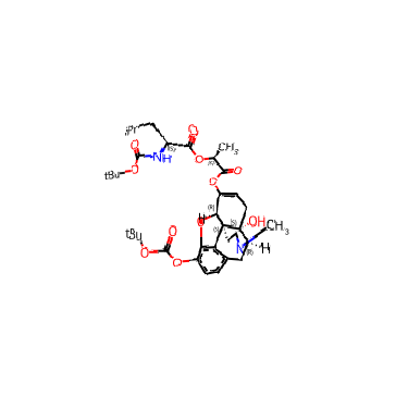 CC(C)C[C@H](NC(=O)OC(C)(C)C)C(=O)O[C@@H](C)C(=O)OC1=CC[C@@]2(O)[C@H]3Cc4ccc(OC(=O)OC(C)(C)C)c5c4[C@@]2(CCN3C)[C@H]1O5